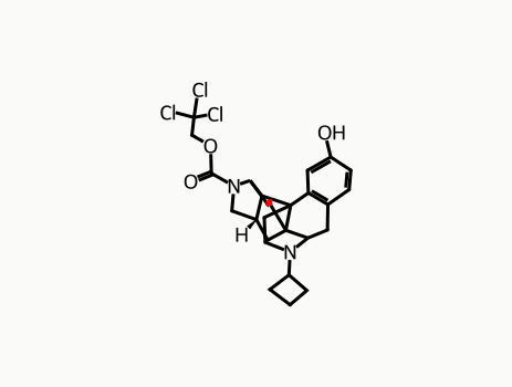 O=C(OCC(Cl)(Cl)Cl)N1C[C@H]2CC34CCC1C2C31CCN(C2CCC2)C4Cc2ccc(O)cc21